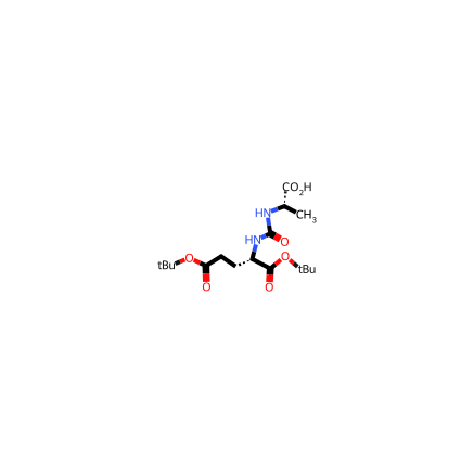 C[C@H](NC(=O)N[C@@H](CCC(=O)OC(C)(C)C)C(=O)OC(C)(C)C)C(=O)O